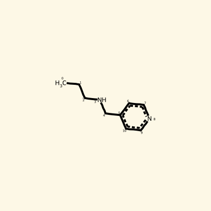 CC[CH]NCc1ccncc1